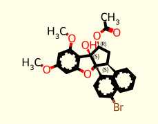 COc1cc(OC)c2c(c1)O[C@@]1(c3ccc(Br)cc3)[C@H](c3ccccc3)C[C@@H](OC(C)=O)[C@@]21O